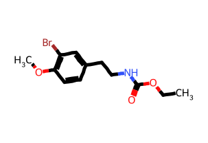 CCOC(=O)NCCc1ccc(OC)c(Br)c1